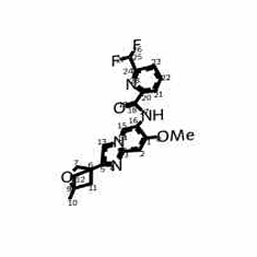 COc1cc2nc(C34COC(C)(C3)C4)cn2cc1NC(=O)c1cccc(C(F)F)n1